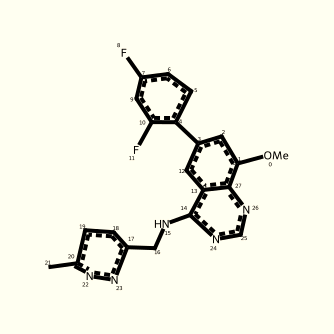 COc1cc(-c2ccc(F)cc2F)cc2c(NCc3ccc(C)nn3)ncnc12